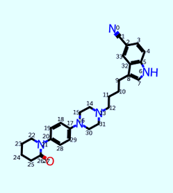 N#Cc1ccc2[nH]cc(CCCCN3CCN(c4ccc(N5CCCCC5=O)cc4)CC3)c2c1